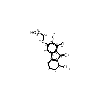 CC1CCCC2=C1C(=O)c1c2cc(OCC(=O)O)c(Cl)c1Cl